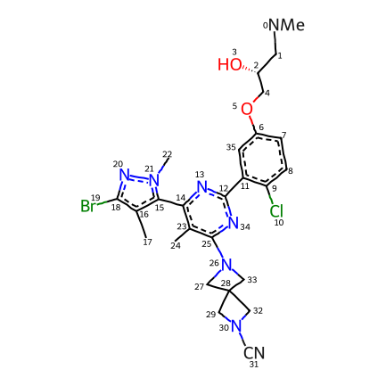 CNC[C@@H](O)COc1ccc(Cl)c(-c2nc(-c3c(C)c(Br)nn3C)c(C)c(N3CC4(CN(C#N)C4)C3)n2)c1